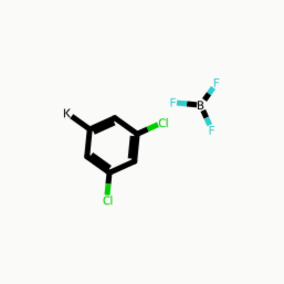 Clc1cc(Cl)c[c]([K])c1.FB(F)F